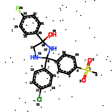 CS(=O)(=O)c1ccc(C2(c3ccc(Cl)cc3)NCC(O)(c3ccc(F)cc3)N2)cc1